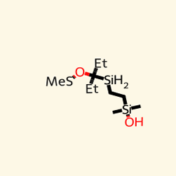 CCC(CC)(OSC)[SiH2]CC[Si](C)(C)O